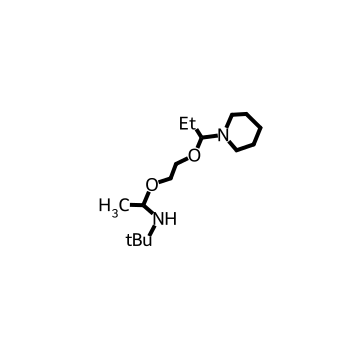 CCC(OCCOC(C)NC(C)(C)C)N1CCCCC1